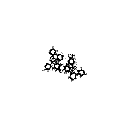 Cc1ccc(C(C)(c2ccc(Oc3ccc(C(C)(c4ccc(O)cc4N)P4(=O)Oc5ccccc5-c5ccccc54)cc3)cc2)P2(=O)Oc3ccccc3-c3ccccc32)c(N)c1